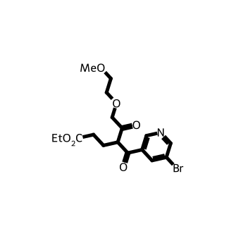 CCOC(=O)CCC(C(=O)COCCOC)C(=O)c1cncc(Br)c1